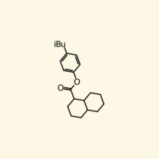 CCC(C)c1ccc(OC(=O)C2CCCC3CCCCC32)cc1